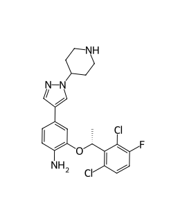 C[C@@H](Oc1cc(-c2cnn(C3CCNCC3)c2)ccc1N)c1c(Cl)ccc(F)c1Cl